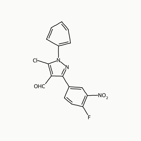 O=Cc1c(-c2ccc(F)c([N+](=O)[O-])c2)nn(-c2ccccc2)c1Cl